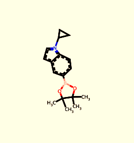 CC1(C)OB(c2ccc3c(ccn3C3CC3)c2)OC1(C)C